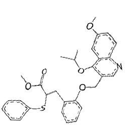 COC(=O)C(Cc1ccccc1OCc1cnc2ccc(OC)cc2c1OC(C)C)Sc1ccccc1